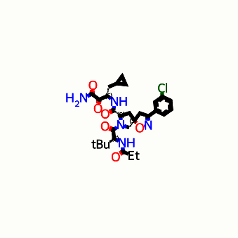 CCC(=O)N[C@H](C(=O)N1C[C@@]2(CC(c3cccc(Cl)c3)=NO2)C[C@H]1C(=O)N[C@@H](CC1CC1)C(=O)C(N)=O)C(C)(C)C